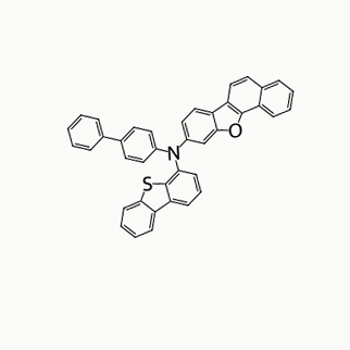 c1ccc(-c2ccc(N(c3ccc4c(c3)oc3c5ccccc5ccc43)c3cccc4c3sc3ccccc34)cc2)cc1